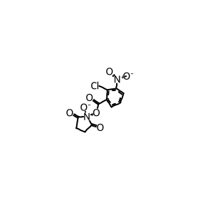 O=C(O[N+]1([O-])C(=O)CCC1=O)c1cccc([N+](=O)[O-])c1Cl